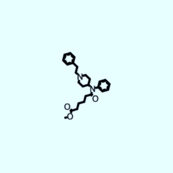 COC(=O)CCCCC(=O)N(c1ccccc1)C1CCN(CCc2ccccc2)CC1